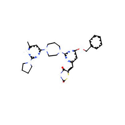 Cc1cc(N2CCCN(c3nc(C=C4SC(=O)NC4=O)cc(OCc4ccccc4)n3)CC2)nc(N2CCCC2)n1